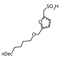 CCCCCCCCCCCCCCOCc1ccc(CS(=O)(=O)O)o1